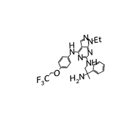 CCn1ncc2c(Nc3ccc(OCC(F)(F)F)cc3)nc(NCC(C)(N)c3ccccc3)nc21